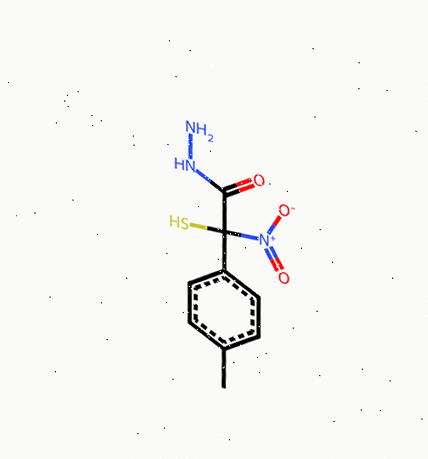 Cc1ccc(C(S)(C(=O)NN)[N+](=O)[O-])cc1